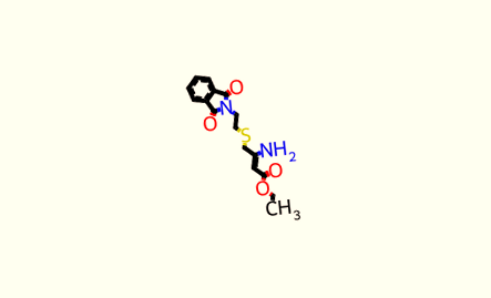 CCOC(=O)C=C(N)CSCCN1C(=O)c2ccccc2C1=O